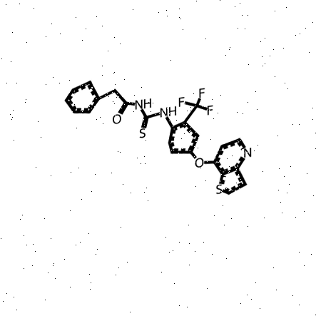 O=C(Cc1ccccc1)NC(=S)Nc1ccc(Oc2ccnc3ccsc23)cc1C(F)(F)F